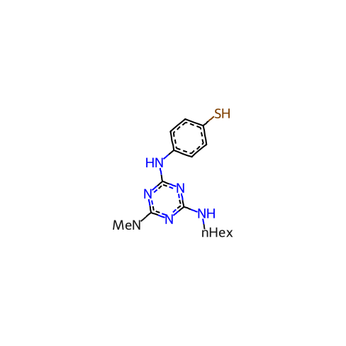 CCCCCCNc1nc(NC)nc(Nc2ccc(S)cc2)n1